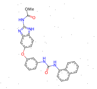 COC(=O)Nc1nc2cc(Oc3cccc(NC(=O)Nc4cccc5ccccc45)c3)ccc2[nH]1